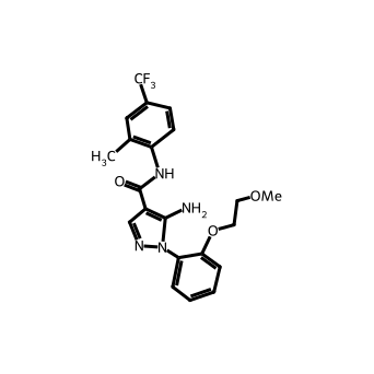 COCCOc1ccccc1-n1ncc(C(=O)Nc2ccc(C(F)(F)F)cc2C)c1N